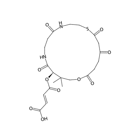 CC1(C)COC(=O)CCC(=O)CC(=O)SCCNC(=O)CCNC(=O)[C@@H]1OC(=O)/C=C/C(=O)O